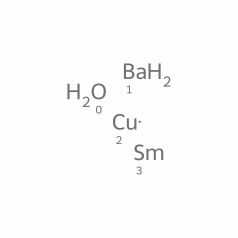 O.[BaH2].[Cu].[Sm]